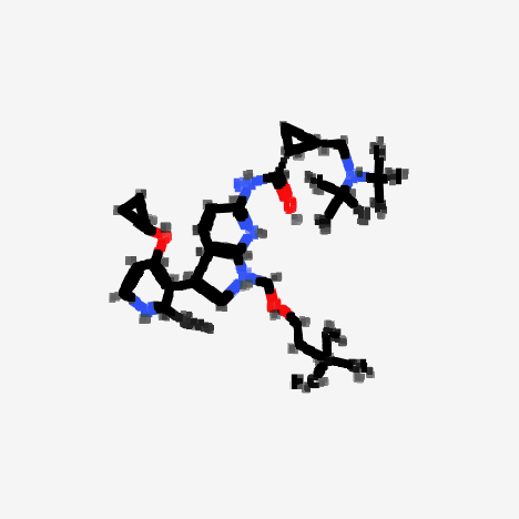 [2H]C([2H])([2H])N(C[C@@H]1C[C@H]1C(=O)Nc1ccc2c(-c3c(OC4CC4)ccnc3OC)cn(COCC[Si](C)(C)C)c2n1)C([2H])([2H])[2H]